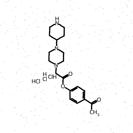 CC(=O)c1ccc(OC(=O)CN2CCN(C3CCNCC3)CC2)cc1.Cl.Cl.Cl